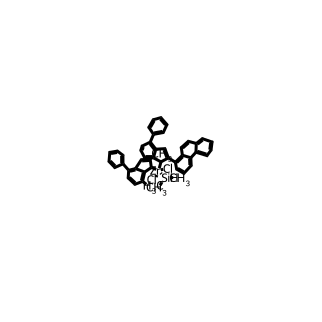 CC1=Cc2c(-c3ccccc3)ccc(C)c2[CH]1[Zr]([Cl])([Cl])([CH]1C(c2cccc3c2ccc2ccccc23)=Cc2c(-c3ccccc3)cccc21)[SiH](C)C